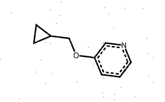 [c]1ncccc1OCC1CC1